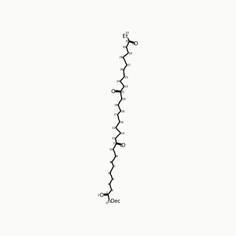 CCCCCCCCCCC(=O)CCCCCCCCC(=O)CCCCCCCCC(=O)CCCCCCCCC(=O)CC